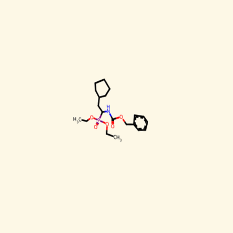 CCOP(=O)(OCC)C(CC1CCCCC1)NC(=O)OCc1ccccc1